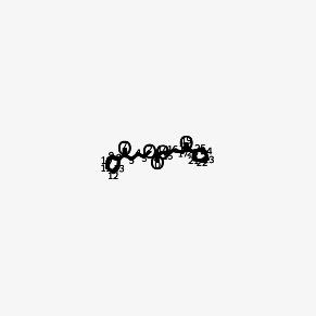 O=C(OCCCC(=O)c1ccccc1)OCCCC(=O)c1ccccc1